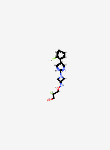 OCC(F)CON=C1CN(c2ncc(-c3ccccc3F)cn2)C1